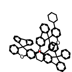 c1ccc(C2(c3ccccc3)c3ccccc3-c3ccc(N(c4ccc5c(c4)C4(c6ccccc6O5)c5ccccc5-c5ccccc54)c4ccc5c(c4)C4(c6cc(C7CCCCC7)ccc6Oc6ccc(C7CCCCC7)cc64)c4ccccc4-5)cc32)cc1